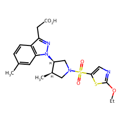 CCOc1ncc(S(=O)(=O)N2C[C@@H](C)[C@@H](n3nc(CC(=O)O)c4ccc(C)cc43)C2)s1